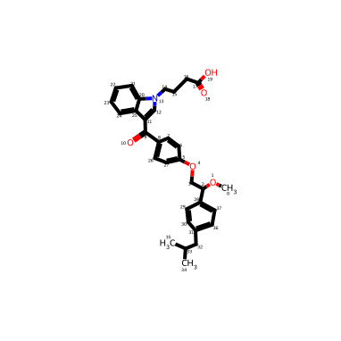 COC(COc1ccc(C(=O)c2cn(CCCC(=O)O)c3ccccc23)cc1)c1ccc(CC(C)C)cc1